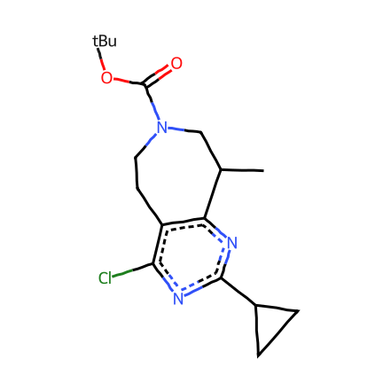 CC1CN(C(=O)OC(C)(C)C)CCc2c(Cl)nc(C3CC3)nc21